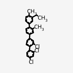 CCc1cc(-c2ccc(-c3ccc(-c4ccc(Cl)cc4Cl)c(Cl)c3)cc2C)ccc1C